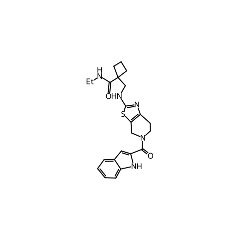 CCNC(=O)C1(CNc2nc3c(s2)CN(C(=O)c2cc4ccccc4[nH]2)CC3)CCC1